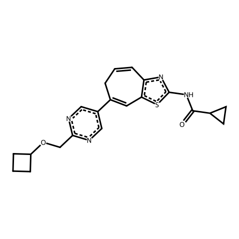 O=C(Nc1nc2c(s1)C=C(c1cnc(COC3CCC3)nc1)CC=C2)C1CC1